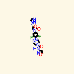 O=C(Nc1ccon1)N1CC=NN(c2c(F)cc(N3C[C@H](Cn4ccnn4)OC3=O)cc2F)CC1